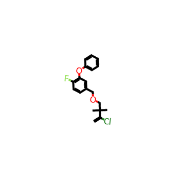 C=C(Cl)C(C)(C)COCc1ccc(F)c(Oc2ccccc2)c1